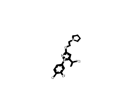 CC(C)c1cc(OCCN2CCCC2)nn1-c1ccc(Cl)c(Cl)c1.Cl